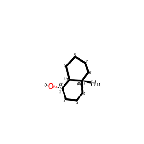 [O][C@H]1CCC[C@H]2CCCCC21